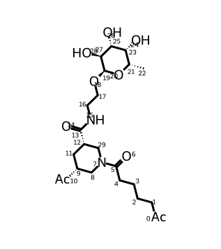 CC(=O)CCCCC(=O)N1C[C@H](C(C)=O)C[C@H](C(=O)NCCO[C@@H]2O[C@@H](C)[C@@H](O)[C@@H](O)[C@@H]2O)C1